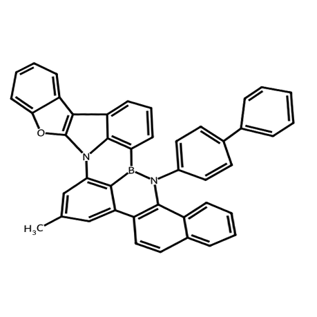 Cc1cc2c3c(c1)-n1c4oc5ccccc5c4c4cccc(c41)B3N(c1ccc(-c3ccccc3)cc1)c1c-2ccc2ccccc12